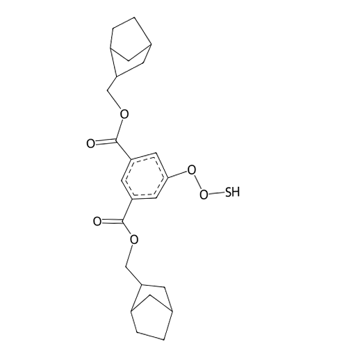 O=C(OCC1CC2CCC1C2)c1cc(OOS)cc(C(=O)OCC2CC3CCC2C3)c1